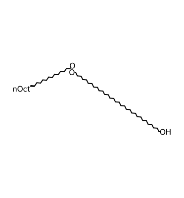 CCCCCCCCC=CCCCCCCCCCCCC(=O)OCCCCCCCCCCCCCCCCCCCCCCCCCCCCCCCCO